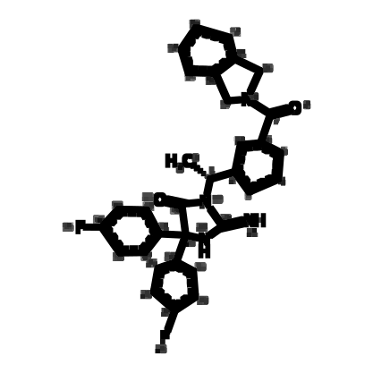 C[C@H](c1cccc(C(=O)N2Cc3ccccc3C2)c1)N1C(=N)NC(c2ccc(F)cc2)(c2ccc(F)cc2)C1=O